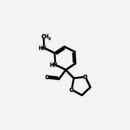 CNC1=CC=CC(C=O)(C2OCCO2)N1